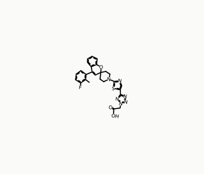 Cc1c(F)cccc1C1=CC2(CCN(c3ncc(-c4nnn(CC(=O)O)n4)s3)CC2)Oc2ccccc21